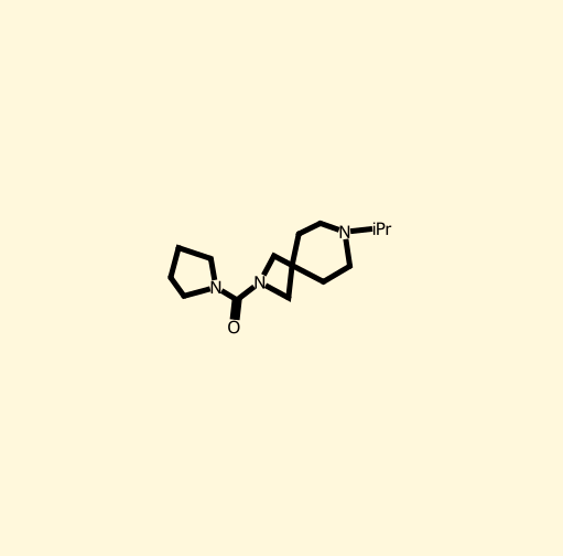 CC(C)N1CCC2(CC1)CN(C(=O)N1CCCC1)C2